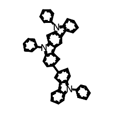 c1ccc(-n2c3ccccc3c3cc(-c4ccc5c(c4)c4cc6c7ccccc7n(-c7ccccc7)c6cc4n5-c4ccccc4)ccc32)cc1